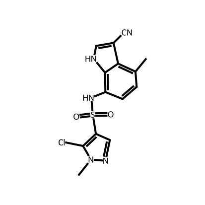 Cc1ccc(NS(=O)(=O)c2cnn(C)c2Cl)c2[nH]cc(C#N)c12